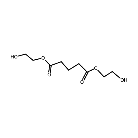 O=C(CCCC(=O)OCCO)OCCO